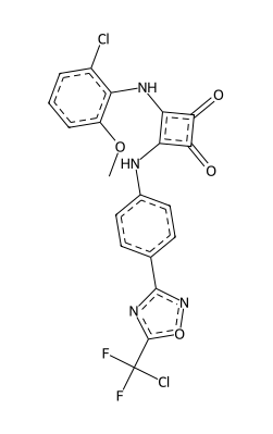 COc1cccc(Cl)c1Nc1c(Nc2ccc(-c3noc(C(F)(F)Cl)n3)cc2)c(=O)c1=O